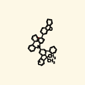 CC1(C)c2ccccc2-c2cc(N(c3ccc(-c4ccc5c(c4)oc4ccccc45)cc3)c3ccccc3-c3ccccc3)cc(-c3ccccc3)c21